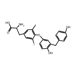 N[C@@H](Cc1cc(I)c(Oc2ccc(O)c(Cc3ccc(O)cc3)c2)c(I)c1)C(=O)O